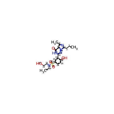 CCCc1nc(C)c2c(=O)[nH]c(-c3cc(S(=O)(=O)N(CC)CCO)ccc3O)nn12